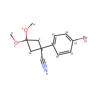 COC1(OC)CC(C#N)(c2ccc(Br)cc2)C1